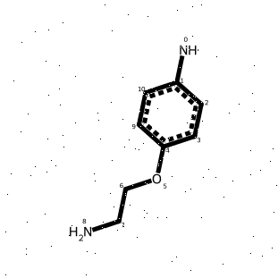 [NH]c1ccc(OCCN)cc1